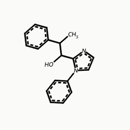 CC(c1ccccc1)C(O)c1nccn1-c1ccccc1